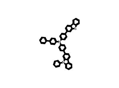 c1ccc(-c2ccc(N(c3ccc(-c4ccc5c(c4)sc4ccccc45)cc3)c3ccc(-c4ccc5c6ccccc6n(-c6ccccc6)c5c4)cc3)cc2)cc1